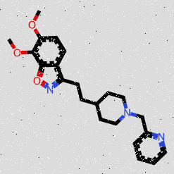 COc1ccc2c(CCC3CCN(Cc4ccccn4)CC3)noc2c1OC